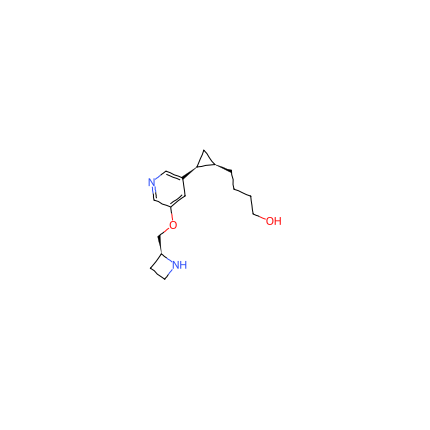 OCCCC[C@@H]1C[C@@H]1c1cncc(OC[C@@H]2CCN2)c1